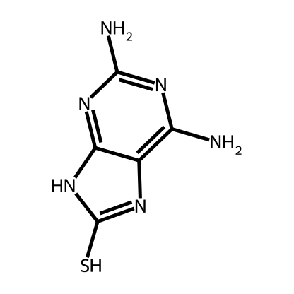 Nc1nc(N)c2nc(S)[nH]c2n1